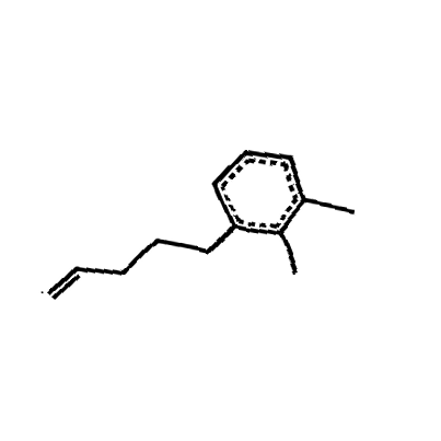 [CH]=CCCCc1cccc(C)c1C